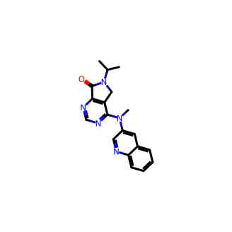 CC(C)N1Cc2c(ncnc2N(C)c2cnc3ccccc3c2)C1=O